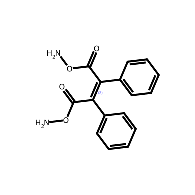 NOC(=O)/C(=C(\C(=O)ON)c1ccccc1)c1ccccc1